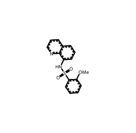 COc1ccccc1S(=O)(=O)Nc1cccc2cccnc12